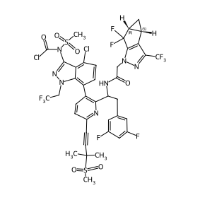 CC(C)(C#Cc1ccc(-c2ccc(Cl)c3c(N(C(=O)Cl)S(C)(=O)=O)nn(CC(F)(F)F)c23)c(C(Cc2cc(F)cc(F)c2)NC(=O)Cn2nc(C(F)(F)F)c3c2C(F)(F)[C@@H]2C[C@H]32)n1)S(C)(=O)=O